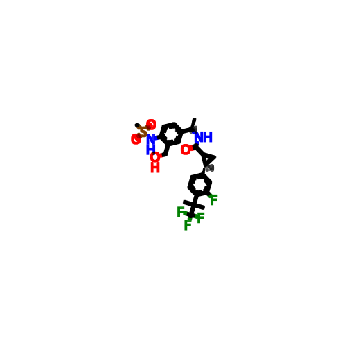 C[C@@H](NC(=O)C1C[C@@H]1c1ccc(C(C)(C)C(F)(F)F)c(F)c1)c1ccc(NS(C)(=O)=O)c(CO)c1